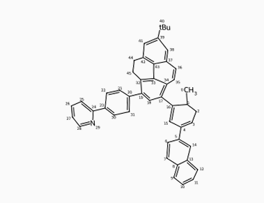 CC1CC=C(c2ccc3ccccc3c2)C=C1c1cc(-c2ccc(-c3ccccn3)cc2)c2c3c1ccc1cc(C(C)(C)C)cc(c13)CC2